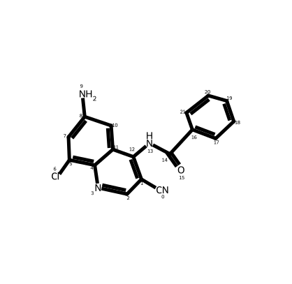 N#Cc1cnc2c(Cl)cc(N)cc2c1NC(=O)c1ccccc1